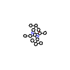 c1ccc(-c2ccc3c4c5c6cc(-c7c(-c8ccccc8)cccc7-c7ccccc7)ccc6n6c7cc(-c8ccccc8)ccc7c(c7c8cc(-c9c(-c%10ccccc%10)cccc9-c9ccccc9)ccc8n(c3c2)c74)c56)cc1